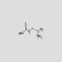 CCC(N)COC(=O)C(C)CC